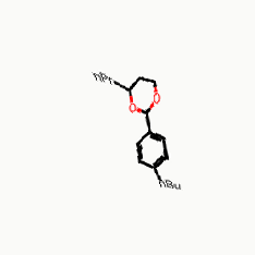 CCCCc1ccc(C2OCCC(CCC)O2)cc1